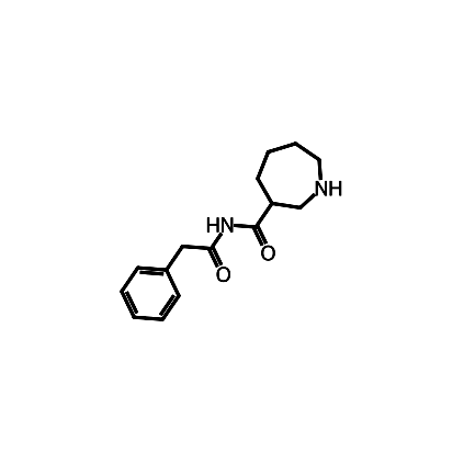 O=C(Cc1ccccc1)NC(=O)C1CCCCNC1